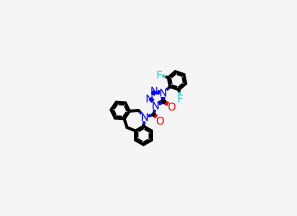 O=C(N1Cc2ccccc2Cc2ccccc21)n1nnn(-c2c(F)cccc2F)c1=O